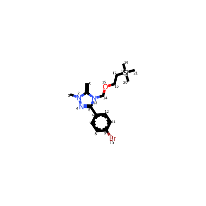 C=C1N(C)N=C(c2ccc(Br)cc2)N1COCC[Si](C)(C)C